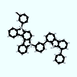 Cc1cccc(-n2c3ccccc3c3c4c5ccccc5n(-c5cccc(-c6cccc7c6sc6c(-c8ccccc8)cccc67)c5)c4ccc32)c1